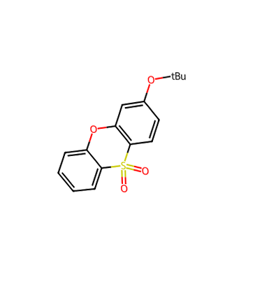 CC(C)(C)Oc1ccc2c(c1)Oc1ccccc1S2(=O)=O